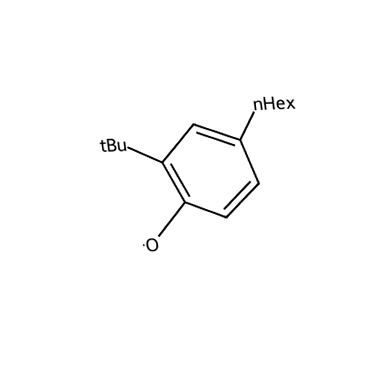 CCCCCCc1ccc([O])c(C(C)(C)C)c1